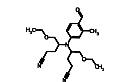 CCOCC(CCC#N)N(c1ccc(C=O)c(C)c1)C(CCC#N)COCC